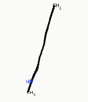 CCCCCCCCCCCCCCCCCCCCCCCCCCCCCCCCCCCCCCCCCCCCCCCCCCCCCCCCCCCCCCCCCCCCCCCCCCCCCCCCCCCCNCCCCCCCCCCCCCCC